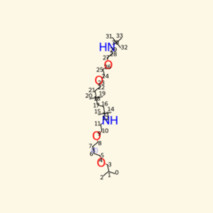 CC(C)COC/C=C\COCCNC(C)(C)CCC(C)(C)CCOCCOCCNC(C)(C)C